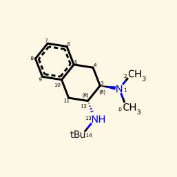 CN(C)[C@@H]1Cc2ccccc2C[C@H]1NC(C)(C)C